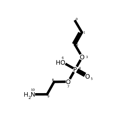 CC=COP(=O)(O)OCCN